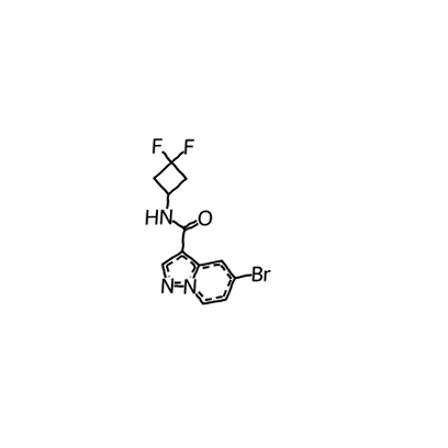 O=C(NC1CC(F)(F)C1)c1cnn2ccc(Br)cc12